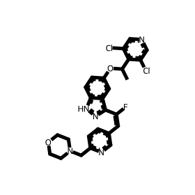 CC(Oc1ccc2[nH]nc(/C(F)=C\c3ccc(CN4CCOCC4)nc3)c2c1)c1c(Cl)cncc1Cl